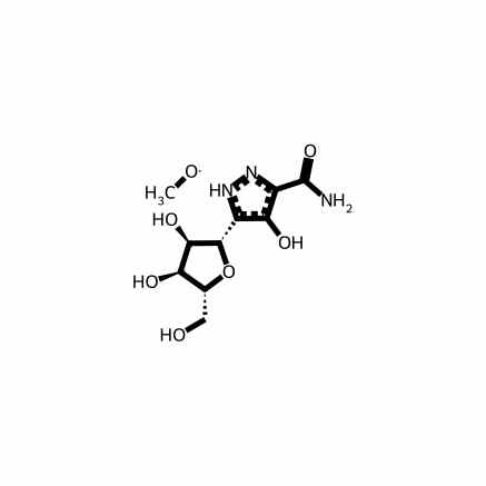 C[O].NC(=O)c1n[nH]c([C@@H]2O[C@H](CO)[C@@H](O)[C@H]2O)c1O